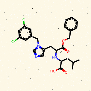 CC(C)CC(NC(Cc1cncn1Cc1cc(Cl)cc(Cl)c1)C(=O)OCc1ccccc1)C(=O)O